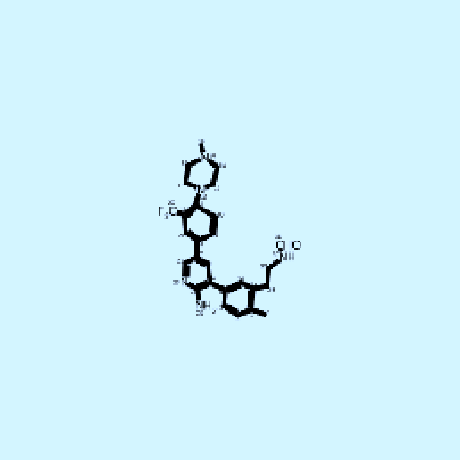 Cc1ccc(-c2cc(-c3ccc(N4CCN(C)CC4)c(C(F)(F)F)c3)cnc2N)cc1CCNC=O